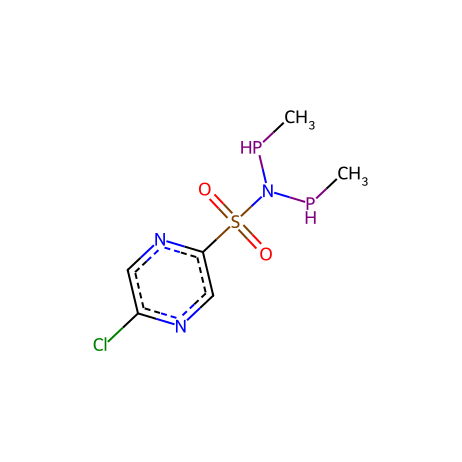 CPN(PC)S(=O)(=O)c1cnc(Cl)cn1